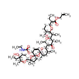 C=CCOC(=O)[C@H](CC)[C@H]1CC[C@H](C)[C@H]([C@@H](C)[C@H](O)[C@H](C)C(=O)[C@H](CC)[C@H]2O[C@]3(C=C[C@@H](OC(=O)NCC)[C@]4(CC[C@@](C)([C@H]5CC[C@](O)(CC)[C@H](C)O5)O4)O3)[C@H](C)C[C@@H]2C)O1